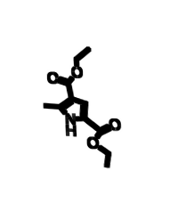 CCOC(=O)c1cc(C(=O)OCC)c(C)[nH]1